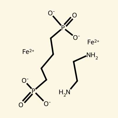 NCCN.O=P([O-])([O-])CCCCP(=O)([O-])[O-].[Fe+2].[Fe+2]